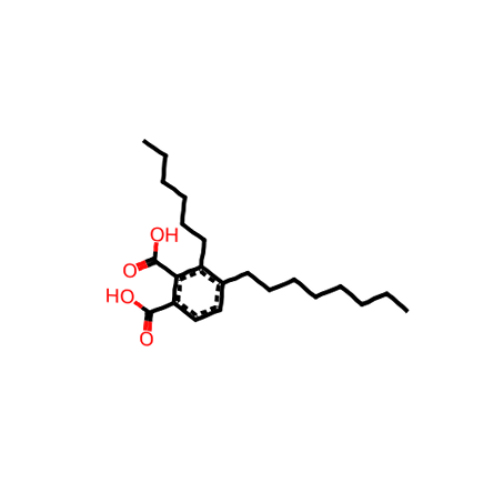 CCCCCCCCc1ccc(C(=O)O)c(C(=O)O)c1CCCCCC